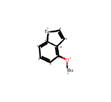 CCC(C)Oc1cccc2[te]ccc12